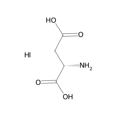 I.N[C@@H](CC(=O)O)C(=O)O